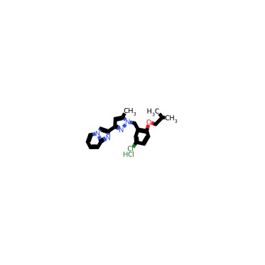 Cc1cc(-c2cn3ccccc3n2)nn1Cc1cc(Cl)ccc1OCC(C)C.Cl